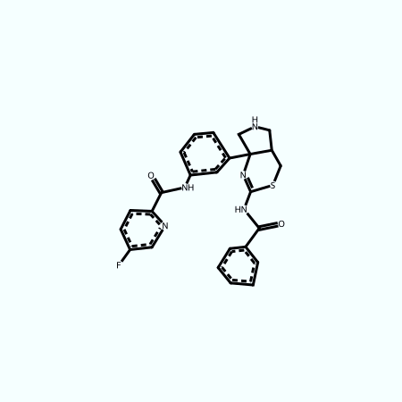 O=C(NC1=NC2(c3cccc(NC(=O)c4ccc(F)cn4)c3)CNCC2CS1)c1ccccc1